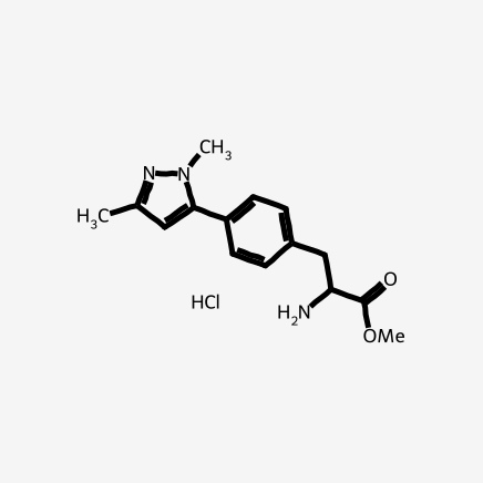 COC(=O)C(N)Cc1ccc(-c2cc(C)nn2C)cc1.Cl